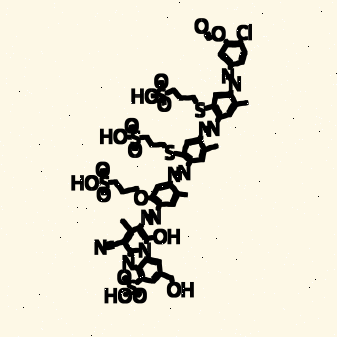 Cc1cc(N=Nc2cc(SCCCS(=O)(=O)O)c(N=Nc3cc(OCCCS(=O)(=O)O)c(N=Nc4c(C)c(C#N)c5nc6c(S(=O)(=O)O)cc(CO)cc6n5c4O)cc3C)cc2C)c(SCCCS(=O)(=O)O)cc1N=Nc1ccc(Cl)c(OC=O)c1